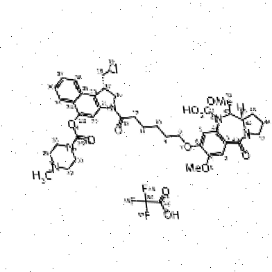 COc1cc2c(cc1OCCCCCC(=O)N1C[C@@H](CCl)c3c1cc(OC(=O)N1CCN(C)CC1)c1ccccc31)N(C(=O)O)C(OC)[C@@H]1CCCN1C2=O.O=C(O)C(F)(F)F